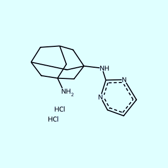 Cl.Cl.NC12CC3CC(C1)CC(Nc1ncccn1)(C3)C2